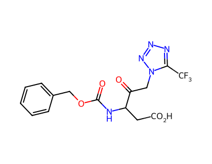 O=C(O)CC(NC(=O)OCc1ccccc1)C(=O)Cn1nnnc1C(F)(F)F